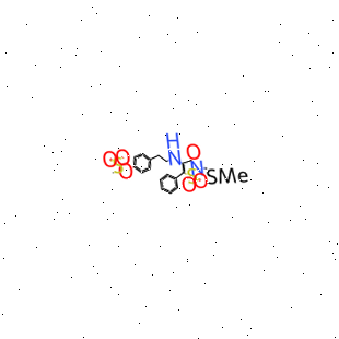 CSCN1C(=O)C(NCCc2ccc(OS(C)(=O)=O)cc2)=C(c2ccccc2)S1(=O)=O